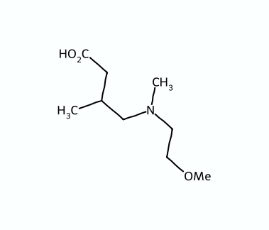 COCCN(C)CC(C)CC(=O)O